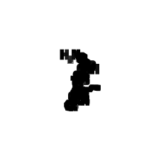 C#CCCCON(C(=O)[C@@H](NC(=O)[C@H]1CCCCN1C)[C@@H](C)CC)[C@H](C[C@@H](OC(C)=O)c1nc(C(=O)NS(=O)(=O)Cc2ccc(N)cc2)cs1)C(C)C